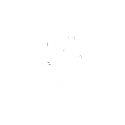 CCCC(C)(CC)C(=O)OO